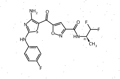 C[C@@H](NC(=O)c1cc(C(=O)c2sc(Nc3ccc(F)cc3)nc2N)on1)C(F)F